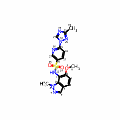 COc1ccc2cnn(C)c2c1NS(=O)(=O)c1ccc(-n2cnc(C)n2)nc1